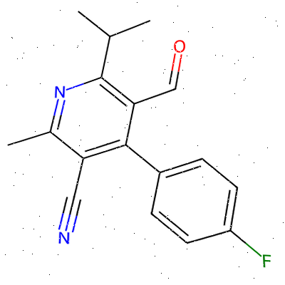 Cc1nc(C(C)C)c(C=O)c(-c2ccc(F)cc2)c1C#N